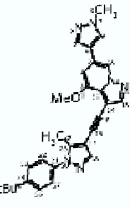 COc1cc(-c2cnn(C)c2)cn2ncc(C#Cc3cnn(-c4ccc(C(C)(C)C)cc4)c3C)c12